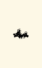 CCO[C@@H](CC)Cc1c(C)cc(C(F)(F)F)nc1-c1ccnc2cc(CN3C(=O)C4C(C3=O)C4(C)C)sc12